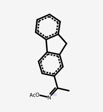 CC(=O)O/N=C(/C)c1ccc2c(c1)Cc1ccccc1-2